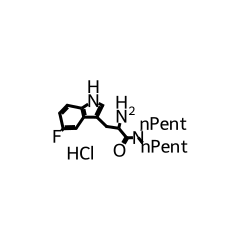 CCCCCN(CCCCC)C(=O)C(N)Cc1c[nH]c2ccc(F)cc12.Cl